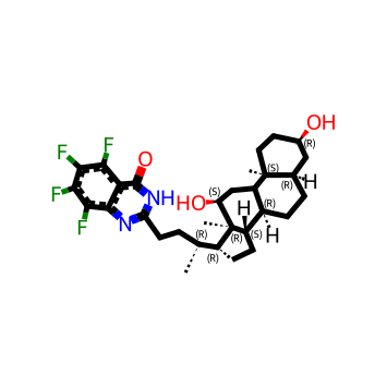 C[C@H](CCc1nc2c(F)c(F)c(F)c(F)c2c(=O)[nH]1)[C@H]1CC[C@H]2[C@@H]3CC[C@@H]4C[C@H](O)CC[C@]4(C)C3C[C@H](O)[C@]12C